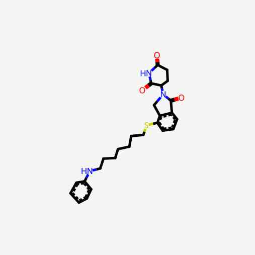 O=C1CCC(N2Cc3c(SCCCCCCCNc4ccccc4)cccc3C2=O)C(=O)N1